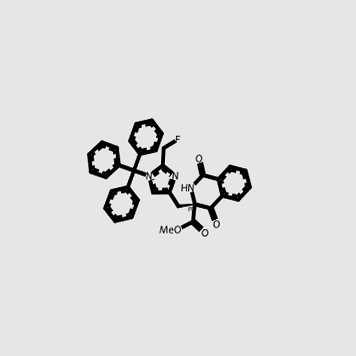 COC(=O)[C@]1(Cc2cn(C(c3ccccc3)(c3ccccc3)c3ccccc3)c(CF)n2)NC(=O)c2ccccc2C1=O